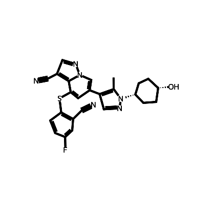 Cc1c(-c2cc(Sc3ccc(F)cc3C#N)c3c(C#N)cnn3c2)cnn1[C@H]1CC[C@@H](O)CC1